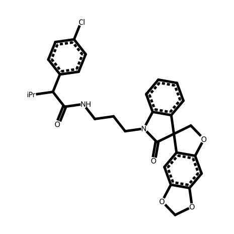 CC(C)C(C(=O)NCCCN1C(=O)C2(COc3cc4c(cc32)OCO4)c2ccccc21)c1ccc(Cl)cc1